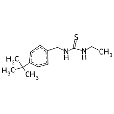 CCNC(=S)NCc1ccc(C(C)(C)C)cc1